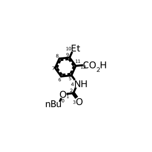 CCCCOC(=O)Nc1cccc(CC)c1C(=O)O